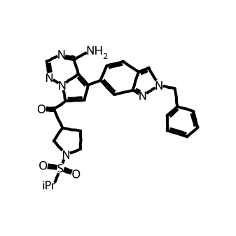 CC(C)S(=O)(=O)N1CCC(C(=O)c2cc(-c3ccc4cn(Cc5ccccc5)nc4c3)c3c(N)ncnn23)C1